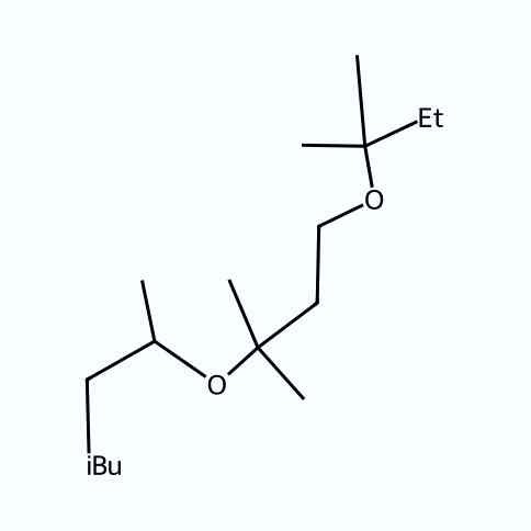 CCC(C)CC(C)OC(C)(C)CCOC(C)(C)CC